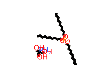 CCCCCCCCCCOP(OCCCCCCCCCC)OCCCCCCCCCC.NC(CO)(CO)CO